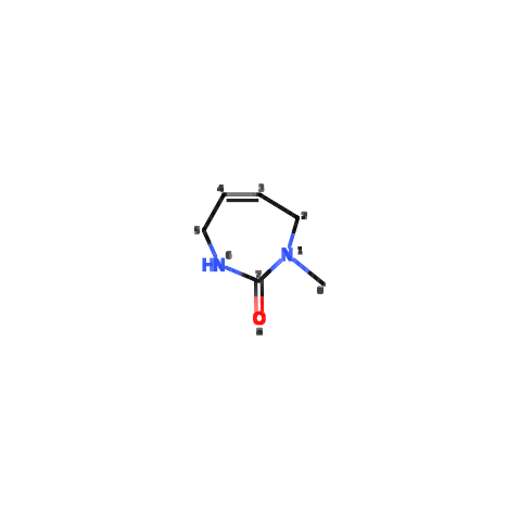 CN1CC=CCNC1=O